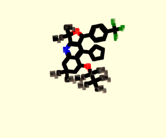 CC1(C)Cc2nc3c(c(C4CCCC4)c2C(O[Si](C)(C)C(C)(C)C)C1)C(c1ccc(C(F)(F)F)cc1)OC3(C)C